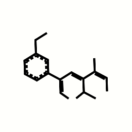 C\C=C(C)/C(=C/C(=C\C)c1cccc(CC)c1)C(C)C